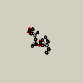 c1ccc(-c2cccc(-c3nc(-c4cccc(-c5ccccc5)c4)nc(-c4cccc5c4Oc4ccccc4C54c5ccccc5-c5c(-c6cc(-c7ccc(-c8nc(-c9ccccc9)nc(-c9cccc%10c9Oc9ccccc9C%109c%10ccccc%10-c%10ccccc%109)n8)cc7)c7oc8ccccc8c7c6)cccc54)n3)c2)cc1